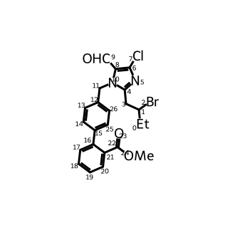 CCC(Br)Cc1nc(Cl)c(C=O)n1Cc1ccc(-c2ccccc2C(=O)OC)cc1